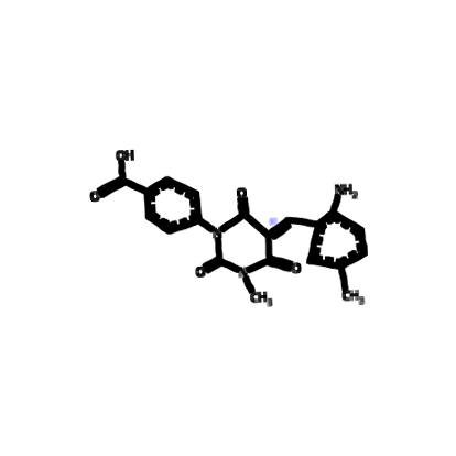 Cc1ccc(N)c(/C=C2\C(=O)N(C)C(=O)N(c3ccc(C(=O)O)cc3)C2=O)c1